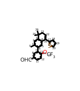 Cc1cc2c(cc1-c1cc(C=O)ccc1OC(F)(F)F)C(c1cccs1)=CCC2(C)C